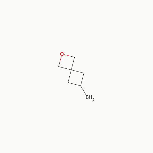 BC1CC2(COC2)C1